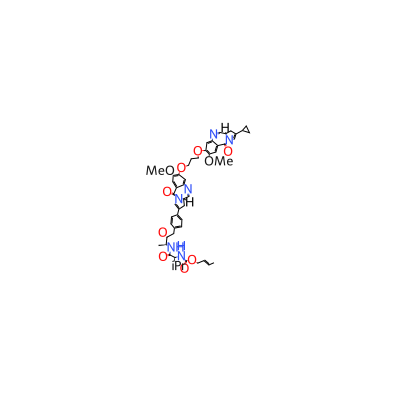 C/C=C/COC(=O)N[C@H](C(=O)N[C@@H](C)C(=O)Cc1ccc(C2=CN3C(=O)c4cc(OC)c(OCCCOc5cc6c(cc5OC)C(=O)N5C=C(C7CC7)C[C@H]5C=N6)cc4N=C[C@@H]3C2)cc1)C(C)C